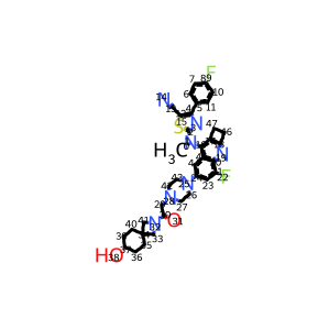 CN(c1nc(-c2ccc(F)cc2)c(C#N)s1)c1c2c(nc3c(F)cc(N4CCN(CC(=O)N5CC6(CCC(O)CC6)C5)CC4)cc13)CC2